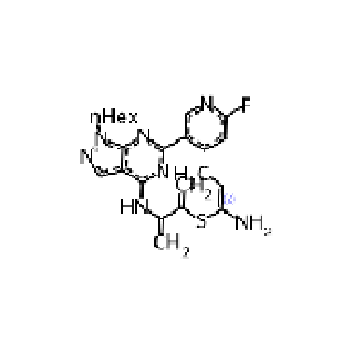 C=C(Nc1nc(-c2ccc(F)nc2)nc2c1cnn2CCCCCC)C(=C)S/C(N)=C\C